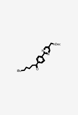 CCCCCCCCCCCc1cnc(-c2ccc(C(=O)CCCCC(C)CC)cc2)nc1